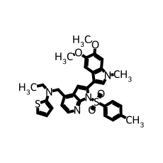 CCN(Cc1ccnc2c1cc(-c1cn(C)c3cc(OC)c(OC)cc13)n2S(=O)(=O)c1ccc(C)cc1)c1cccs1